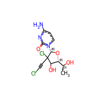 C[C@H](O)[C@H]1O[C@@H](n2ccc(N)nc2=O)C(Cl)(C#CCl)C1O